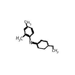 CCC1CCC(=Nc2ccc(C)cc2C)CC1